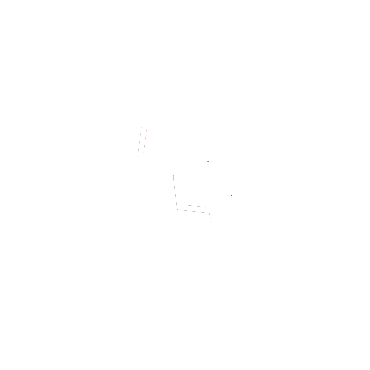 O=CC1C=C(Br)CC1